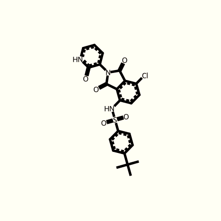 CC(C)(C)c1ccc(S(=O)(=O)Nc2ccc(Cl)c3c2C(=O)N(c2ccc[nH]c2=O)C3=O)cc1